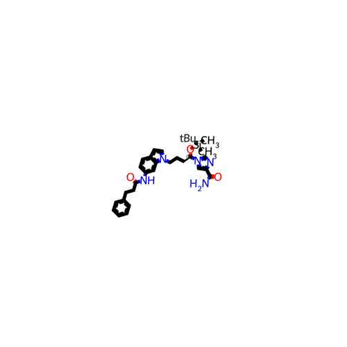 CC(C)(C)[Si](C)(C)O[C@H](CCCn1ccc2ccc(NC(=O)CCc3ccccc3)cc21)n1cnc(C(N)=O)c1